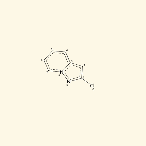 Clc1cc2ccccn2n1